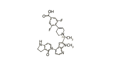 C[C@@H](c1cc2c(-n3ccc4c(c3=O)CCN4)ccnc2n1C)N1CC=C(c2c(F)cc(C(=O)O)cc2F)CC1